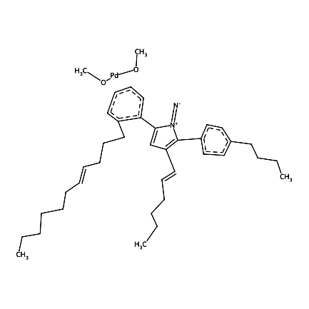 CCCCC=CC1=C(c2ccc(CCCC)cc2)[N+](=[N-])C(c2ccccc2CCCC=CCCCCCC)=C1.C[O][Pd][O]C